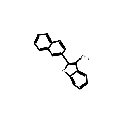 Cc1c(-c2ccc3ccccc3c2)oc2ccccc12